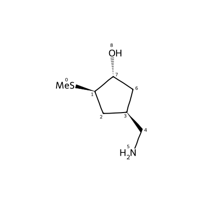 CS[C@@H]1C[C@H](CN)C[C@H]1O